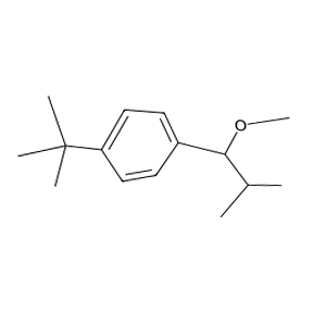 COC(c1ccc(C(C)(C)C)cc1)C(C)C